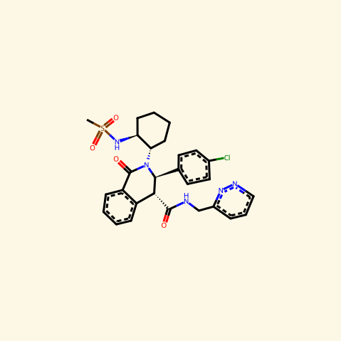 CS(=O)(=O)N[C@H]1CCCC[C@@H]1N1C(=O)c2ccccc2[C@@H](C(=O)NCc2cccnn2)[C@@H]1c1ccc(Cl)cc1